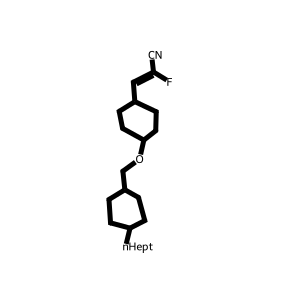 CCCCCCCC1CCC(COC2CCC(C=C(F)C#N)CC2)CC1